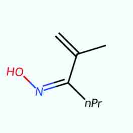 C=C(C)C(CCC)=NO